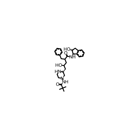 CC(C)(C)C(=O)NN1CCN[C@@H](CC(O)CC(Cc2ccccc2)C(=O)N[C@H]2c3ccccc3C[C@@H]2O)C1